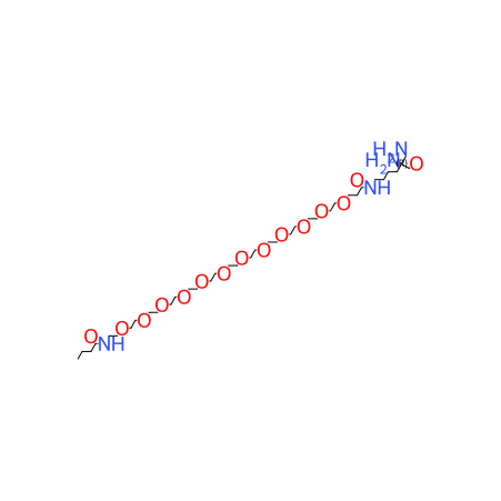 CCCC(=O)NCCOCCOCCOCCOCCOCCOCCOCCOCCOCCOCCOCCOCCC(=O)NCCCC[C@](N)(C=O)CN